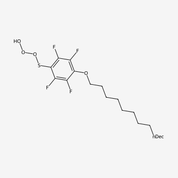 CCCCCCCCCCCCCCCCCCOc1c(F)c(F)c(SOOO)c(F)c1F